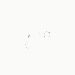 Cc1cccc(C(=O)N[C@@H]2CCC[C@](O)(C#Cc3cccc(Cl)c3)C2)n1